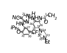 C=CC(=O)Nc1cc(N2CCN(CC)CC2)ccc1Nc1ncc(C#N)c(Nc2cc(C(F)(F)F)ccc2OC(C)C)n1